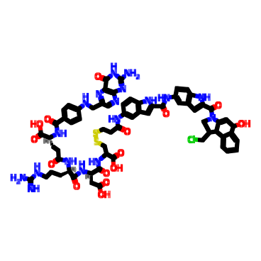 N=C(N)NCCC[C@@H](NC(=O)CC[C@@H](NC(=O)c1ccc(NCc2cnc3nc(N)[nH]c(=O)c3n2)cc1)C(=O)O)C(=O)N[C@H](CC(=O)O)C(=O)NC(CSSCCC(=O)Nc1ccc2[nH]c(C(=O)Nc3ccc4[nH]c(C(=O)N5CC(CCl)C6C5=CC(O)c5ccccc56)cc4c3)cc2c1)C(=O)O